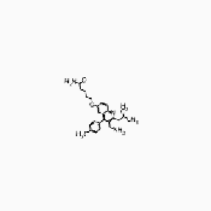 Cc1ccc(-c2c(CN)c(CC(C)C)nc3ccc(OCCCCC(N)=O)cc23)cc1